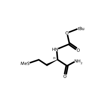 CSCC[C@@H](NC(=O)OC(C)(C)C)C(N)=O